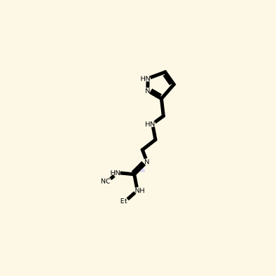 CCN/C(=N/CCNCc1cc[nH]n1)NC#N